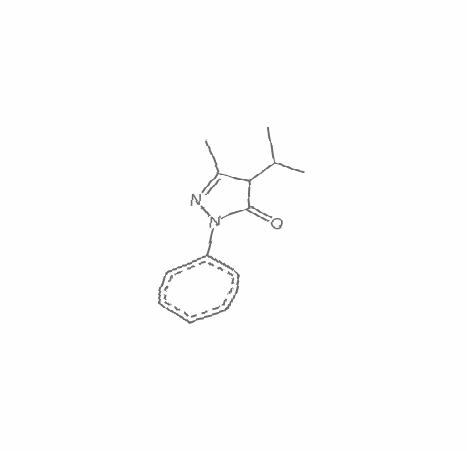 CC1=NN(c2ccccc2)C(=O)C1C(C)C